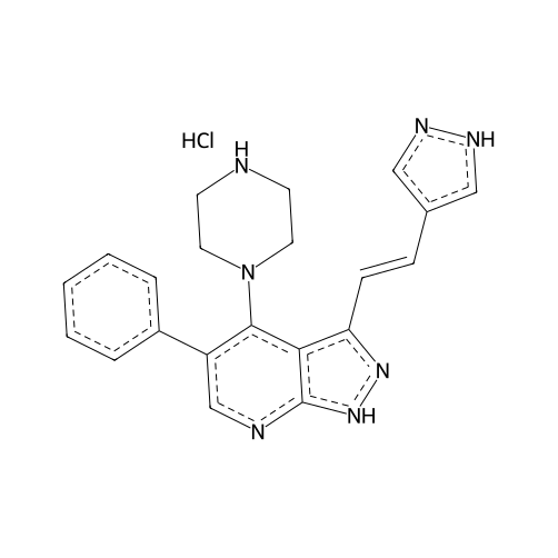 C(=Cc1n[nH]c2ncc(-c3ccccc3)c(N3CCNCC3)c12)c1cn[nH]c1.Cl